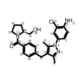 Cc1nn(-c2ccc(N)c(Cl)c2)c(C)c1Cc1ccc(C(=O)N2CCC[C@H]2CO)cc1